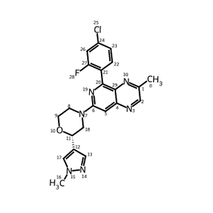 Cc1cnc2cc(N3CCO[C@@H](c4cnn(C)c4)C3)nc(-c3ccc(Cl)cc3F)c2n1